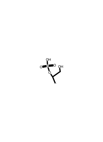 [CH2]C(CO)OS(=O)(=O)O